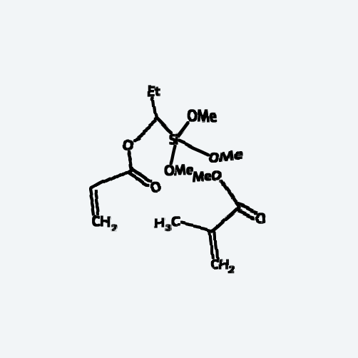 C=C(C)C(=O)OC.C=CC(=O)OC(CC)[Si](OC)(OC)OC